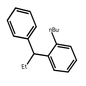 CCC[CH]c1ccccc1C(CC)c1ccccc1